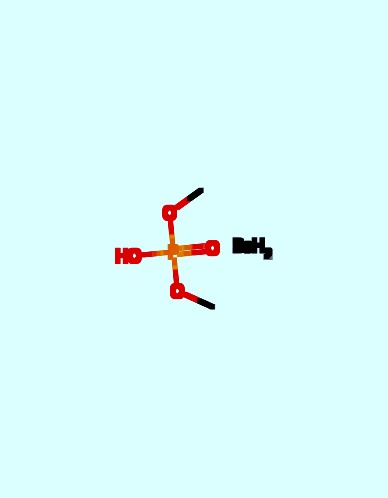 COP(=O)(O)OC.[BaH2]